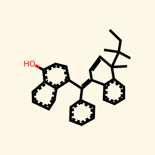 CCC(C)(C)C1(C)C=C/C(=C(/c2ccccc2)c2ccc(O)c3ccccc23)c2ccccc21